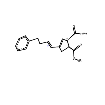 COC(=O)[C@@H]1C=C(/C=C/CCc2ccccc2)CN1C(=O)OC(C)(C)C